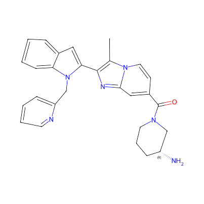 Cc1c(-c2cc3ccccc3n2Cc2ccccn2)nc2cc(C(=O)N3CCC[C@@H](N)C3)ccn12